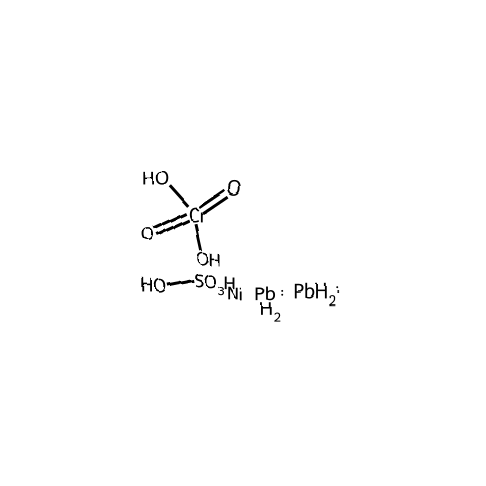 O=S(=O)(O)O.[Ni].[O]=[Cr](=[O])([OH])[OH].[PbH2].[PbH2]